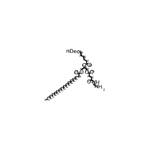 C=C=C=C=C=C=C=C=C=C=C=C=C=C=CC(=O)OCC(COC(=O)CCC(=O)NCN)OC(=O)CCCCCCCCCCCCCCC